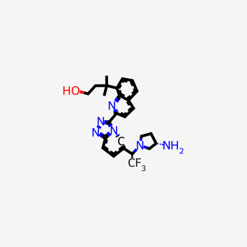 CC(C)(CCO)c1cccc2ccc(-c3nnc4ccc([C@@H](N5CC[C@H](N)C5)C(F)(F)F)cn34)nc12